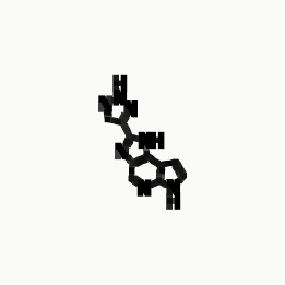 c1cc2c(ncc3nc(-c4cn[nH]n4)[nH]c32)[nH]1